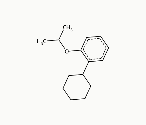 CC(C)Oc1ccccc1C1CCCCC1